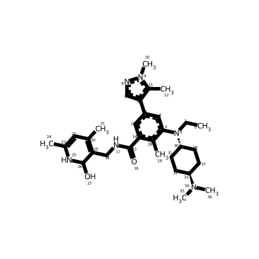 CCN(c1cc(-c2cnn(C)c2C)cc(C(=O)NCC2=C(C)C=C(C)NC2O)c1C)[C@H]1CC[C@H](N(C)C)CC1